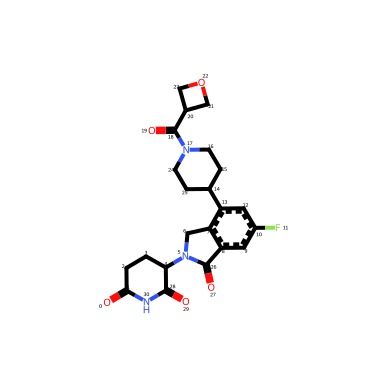 O=C1CCC(N2Cc3c(cc(F)cc3C3CCN(C(=O)C4COC4)CC3)C2=O)C(=O)N1